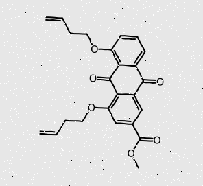 C=CCCOc1cccc2c1C(=O)c1c(OCCC=C)cc(C(=O)OC)cc1C2=O